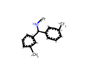 Cc1cccc(C(NC(C)C)c2cccc(C(F)(F)F)c2)c1